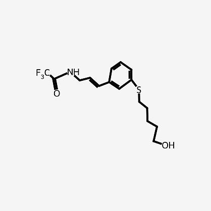 O=C(NCC=Cc1cccc(SCCCCCO)c1)C(F)(F)F